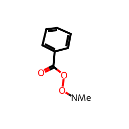 CNOOC(=O)c1ccccc1